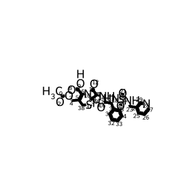 CC(=O)OCC1=C(C(=O)O)N2C(=O)[C@@H](NC(=O)C(NS(=O)(=O)NCc3cccnc3)c3ccccc3)[C@H]2SC1